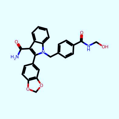 NC(=O)c1c(-c2ccc3c(c2)OCO3)n(Cc2ccc(C(=O)NCO)cc2)c2ccccc12